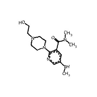 CBc1cnc(N2CCN(CCO)CC2)c(C(=O)N(C)C)c1